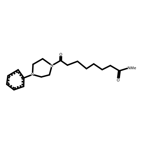 CNC(=O)CCCCCCC(=O)N1CCN(c2ccccc2)CC1